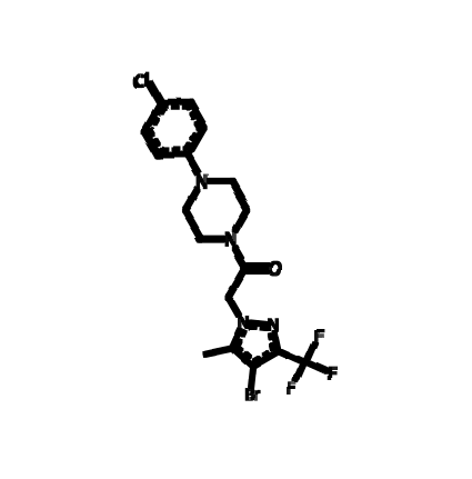 Cc1c(Br)c(C(F)(F)F)nn1CC(=O)N1CCN(c2ccc(Cl)cc2)CC1